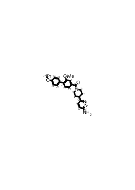 COc1cc(C(=O)N2CCC(c3ccc(N)nn3)CC2)ccc1-c1ccc(OC(C)C)cc1